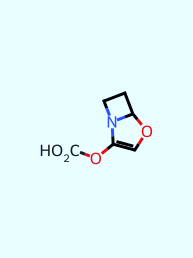 O=C(O)OC1=COC2CCN12